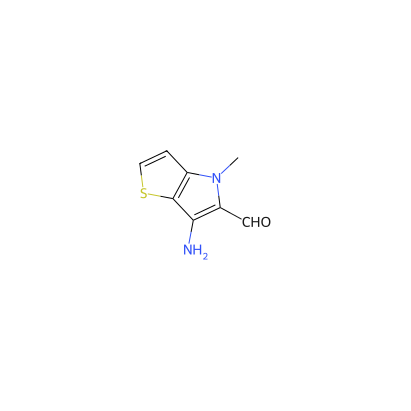 Cn1c(C=O)c(N)c2sccc21